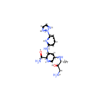 CCC[C@@H](Nc1cnc(C(N)=O)c(Nc2cccc(-n3nccn3)n2)c1)C(=O)CN